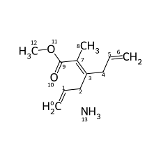 C=CCC(CC=C)=C(C)C(=O)OC.N